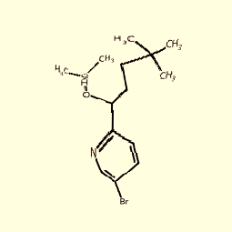 C[SiH](C)OC(CCC(C)(C)C)c1ccc(Br)cn1